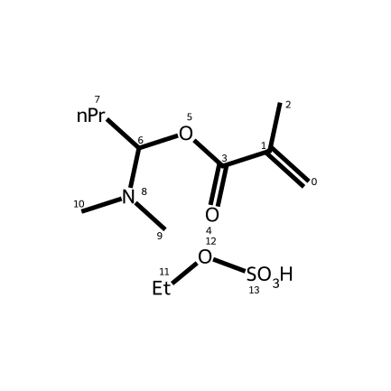 C=C(C)C(=O)OC(CCC)N(C)C.CCOS(=O)(=O)O